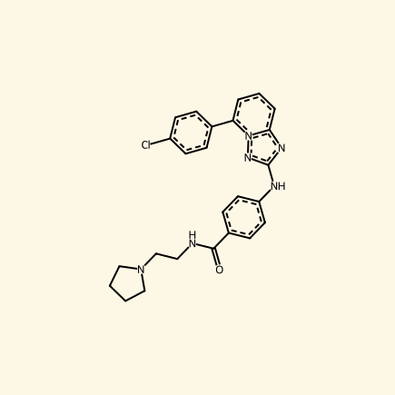 O=C(NCCN1CCCC1)c1ccc(Nc2nc3cccc(-c4ccc(Cl)cc4)n3n2)cc1